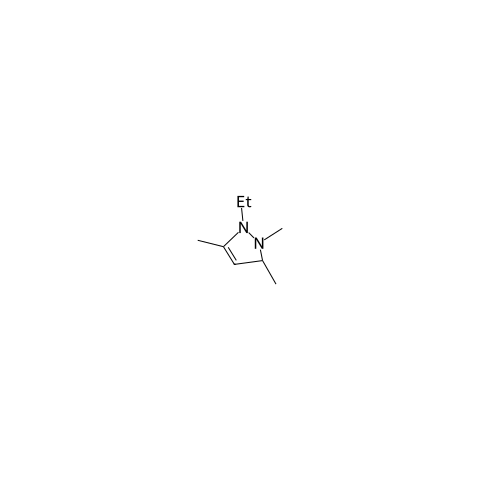 CCN1C(C)=CC(C)N1C